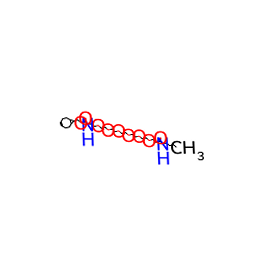 CCCCNC(=O)CCOCCOCCOCCOCCOCCOCCNC(=O)OCC1C2CCC#CCCC21